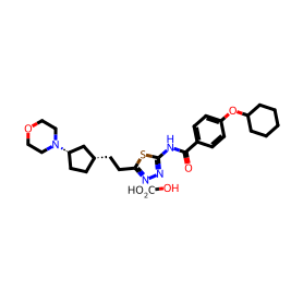 O=C(Nc1nnc(CC[C@@H]2CC[C@H](N3CCOCC3)C2)s1)c1ccc(OC2CCCCC2)cc1.O=C(O)O